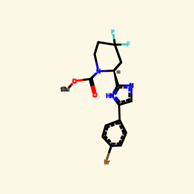 CC(C)(C)OC(=O)N1CCC(F)(F)C[C@H]1c1ncc(-c2ccc(Br)cc2)[nH]1